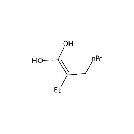 CCCCC(CC)=C(O)O